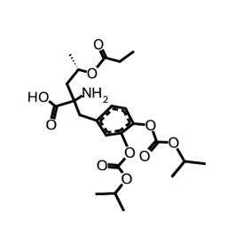 CCC(=O)O[C@@H](C)CC(N)(Cc1ccc(OC(=O)OC(C)C)c(OC(=O)OC(C)C)c1)C(=O)O